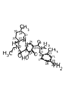 CCN1C(=O)c2c(O)c(=O)c(C(=O)N(C)Cc3ccc(P)cc3C)cn2N2C[C@H](C)CC[C@@H]12